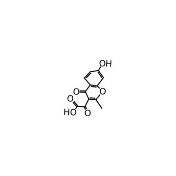 Cc1oc2cc(O)ccc2c(=O)c1C(=O)C(=O)O